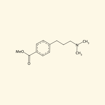 COC(=O)c1ccc(CCCN(C)C)cc1